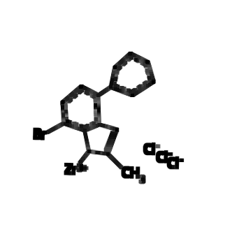 CC1=Cc2c(-c3ccccc3)ccc(Br)c2[CH]1[Zr+3].[Cl-].[Cl-].[Cl-]